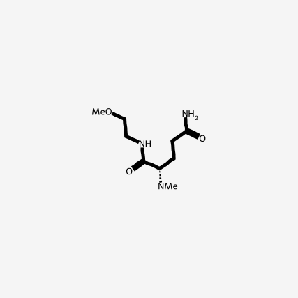 CN[C@@H](CCC(N)=O)C(=O)NCCOC